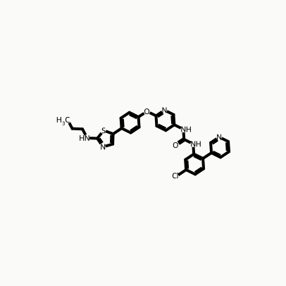 CCCNc1ncc(-c2ccc(Oc3ccc(NC(=O)Nc4cc(Cl)ccc4-c4cccnc4)cn3)cc2)s1